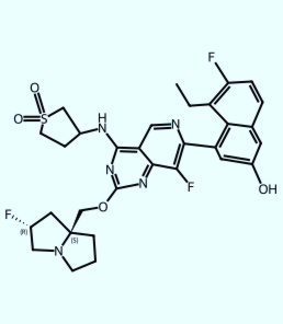 CCc1c(F)ccc2cc(O)cc(-c3ncc4c(NC5CCS(=O)(=O)C5)nc(OC[C@@]56CCCN5C[C@H](F)C6)nc4c3F)c12